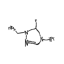 CCCN1N=CN(C(C)C)C1F